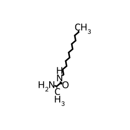 CCCCCCCCCCCCNC(=O)[C@H](C)N